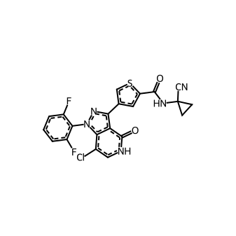 N#CC1(NC(=O)c2cc(-c3nn(-c4c(F)cccc4F)c4c(Cl)c[nH]c(=O)c34)cs2)CC1